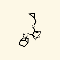 C1CC1COc1nsnc1OC1C2CCC1NC2